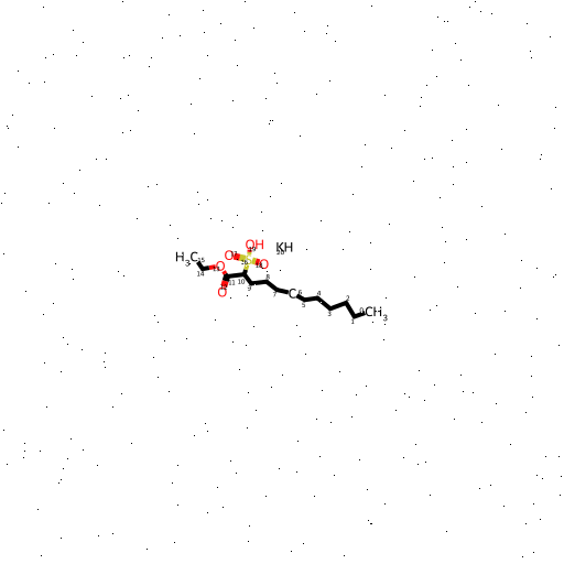 CCCCCCCCCCC(C(=O)OCC)S(=O)(=O)O.[KH]